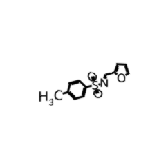 Cc1ccc(S(=O)(=O)N=Cc2ccco2)cc1